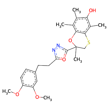 COc1ccc(CCc2nnc(C3(C)CSc4c(C)c(O)c(C)c(C)c4O3)o2)cc1OC